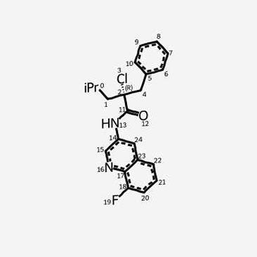 CC(C)C[C@@](Cl)(Cc1ccccc1)C(=O)Nc1cnc2c(F)cccc2c1